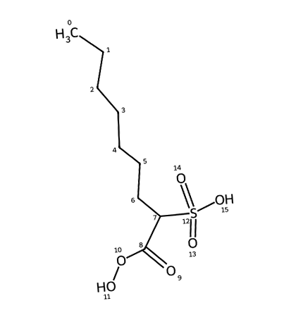 CCCCCCCC(C(=O)OO)S(=O)(=O)O